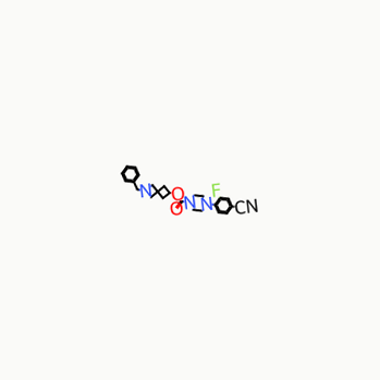 N#Cc1ccc(N2CCN(C(=O)OC3CC4(C3)CN(Cc3ccccc3)C4)CC2)c(F)c1